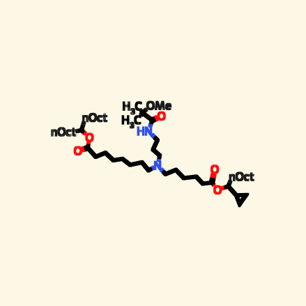 CCCCCCCCC(CCCCCCCC)OC(=O)CCCCCCCN(CCCCCC(=O)OC(CCCCCCCC)C1CC1)CCCNC(=O)C(C)(C)OC